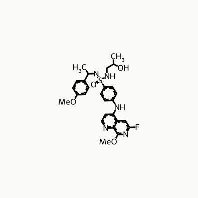 COc1ccc(C(C)N=S(=O)(NCC(C)O)c2ccc(Nc3ccnc4c(OC)nc(F)cc34)cc2)cc1